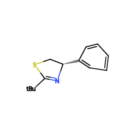 CC(C)(C)C1=N[C@@H](c2ccccc2)CS1